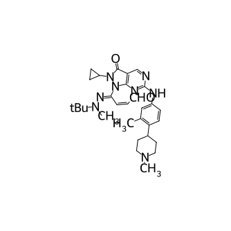 Cc1cc(Nc2ncc3c(=O)n(C4CC4)n(C(/C=C\C=O)=N/N(C)C(C)(C)C)c3n2)ccc1C1CCN(C)CC1